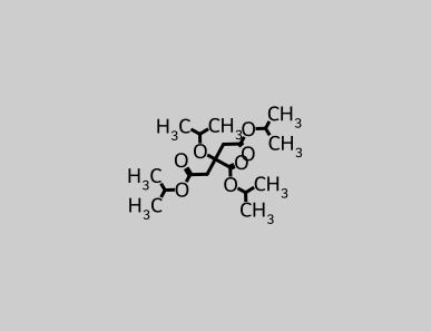 CC(C)OC(=O)CC(CC(=O)OC(C)C)(OC(C)C)C(=O)OC(C)C